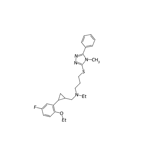 CCOc1ccc(F)cc1C1CC1CN(CC)CCCSc1nnc(-c2ccccc2)n1C